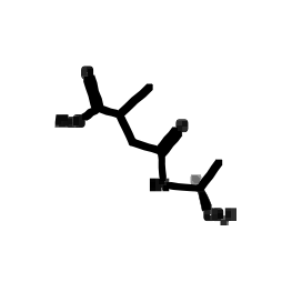 COC(=O)C(C)CC(=O)N[C@@H](C)C(=O)O